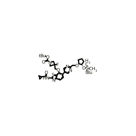 CC(C)(C)OC(=O)N1CC(F)(COc2c(-c3cnc(CO[C@H]4CCC[C@@H]4O[Si](C)(C)C(C)(C)C)nc3)ccc3nc(NC(=O)C4CC4)sc23)C1